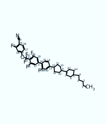 CCCCCC1CCC(C2CCC(c3ccc(-c4cc(F)c(C(F)(F)Oc5ccc(C#N)c(F)c5)c(F)c4)c(F)c3)CC2)CC1